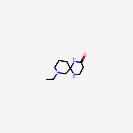 CCN1CCCC2(C1)NCCC(=O)N2